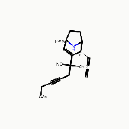 C=C=C[C@@H]1C(C(C#N)(C#N)CC#CCOC(C)=O)=C[C@H]2CCC1N2